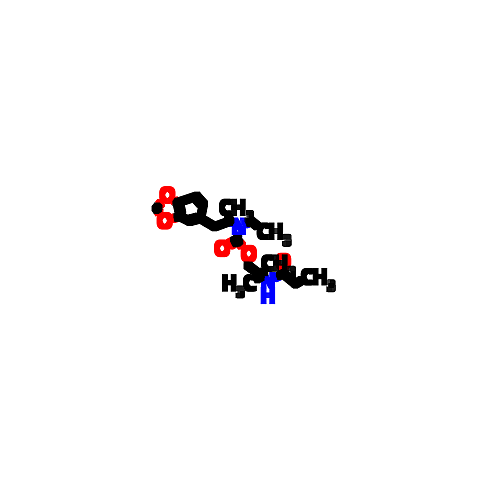 CCC(=O)NC(C)(C)COC(=O)N(CC)C(C)Cc1ccc2c(c1)OCO2